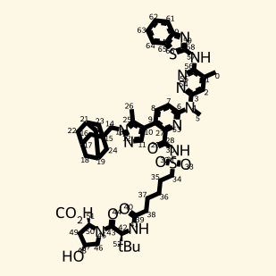 Cc1cc(N(C)c2ccc(-c3cnn(CC45CC6CC(CC(C6)C4)C5)c3C)c(C(=O)NS(=O)(=O)CCCCCC(=O)N[C@H](C(=O)N3C[C@H](O)C[C@H]3C(=O)O)C(C)(C)C)n2)nnc1Nc1nc2ccccc2s1